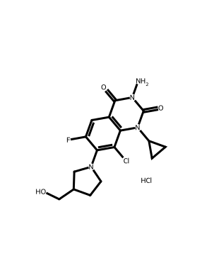 Cl.Nn1c(=O)c2cc(F)c(N3CCC(CO)C3)c(Cl)c2n(C2CC2)c1=O